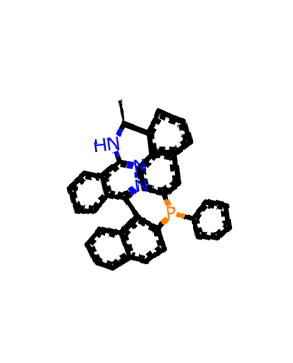 C[C@H](Nc1nnc(-c2c(P(c3ccccc3)c3ccccc3)ccc3ccccc23)c2ccccc12)c1ccccc1